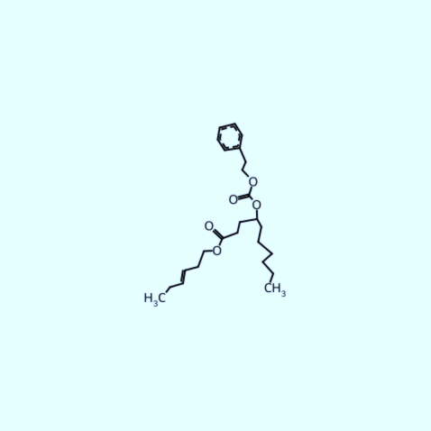 CCC=CCCOC(=O)CCC(CCCCCC)OC(=O)OCCc1ccccc1